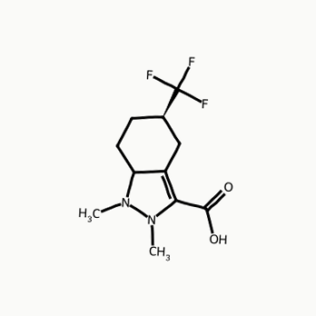 CN1C(C(=O)O)=C2C[C@H](C(F)(F)F)CCC2N1C